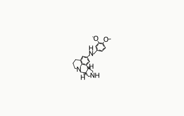 COc1ccc(CNc2cc3c4c(c2)[C@@H]2CNC[C@@H]2CN4CCC3)cc1OC